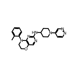 Cc1ccccc1N1CCOc2cnc(NC3CCN(c4ccnnc4)CC3)nc21